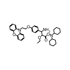 CCOC(C(=O)ON(C1CCCCC1)C1CCCCC1)C(N)c1ccc(OCCN2c3ccccc3Oc3ccccc32)cc1